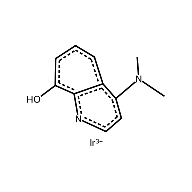 CN(C)c1ccnc2c(O)cccc12.[Ir+3]